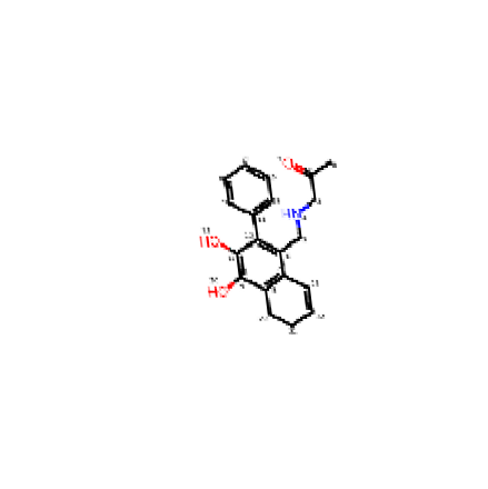 CC(=O)CNCc1c2c(c(O)c(O)c1-c1ccccc1)CCC=C2